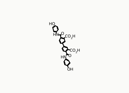 O=C(O)c1cc(-c2ccc(C(=O)Nc3ccc(O)cc3)c(C(=O)O)c2)ccc1C(=O)Nc1ccc(O)cc1